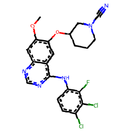 COc1cc2ncnc(Nc3ccc(Cl)c(Cl)c3F)c2cc1OC1CCCN(C#N)C1